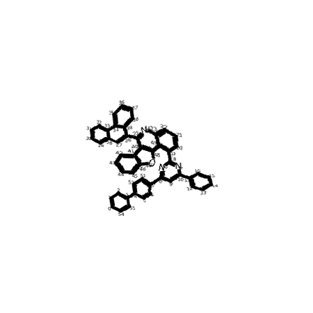 c1ccc(-c2ccc(-c3cc(-c4ccccc4)nc(-c4cccc5nc(-c6cc7ccccc7c7ccccc67)c6c7ccccc7oc6c45)n3)cc2)cc1